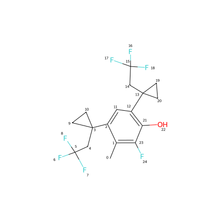 Cc1c(C2(CC(F)(F)F)CC2)cc(C2(CC(F)(F)F)CC2)c(O)c1F